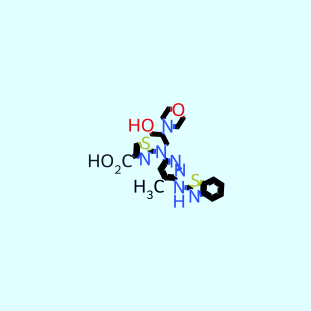 Cc1cc(N(CC(CO)N2CCOCC2)c2nc(C(=O)O)cs2)nnc1Nc1nc2ccccc2s1